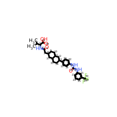 CC(C)[C@H](NC(=O)CC1CCC2CC(c3ccc(NC(=O)Nc4cccc(C(F)(F)F)c4)cc3)CCC2C1)C(=O)O